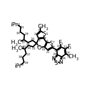 Cc1cc2c(s1)-c1sc(-c3c(F)c(F)c(C)c4nsnc34)cc1OC2(CCC(C)CCCC(C)C)CCC(C)CCCC(C)C